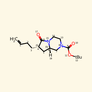 C=CCC[C@H]1C[C@H]2CN(C(=O)OC(C)(C)C)CCN2C1=O